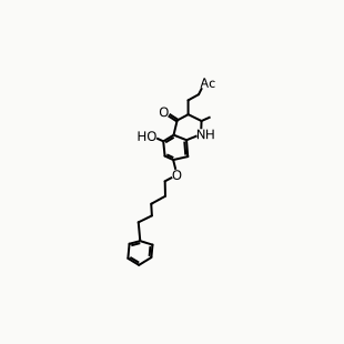 CC(=O)CCC1C(=O)c2c(O)cc(OCCCCCc3ccccc3)cc2NC1C